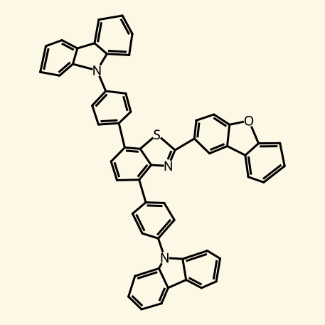 c1ccc2c(c1)oc1ccc(-c3nc4c(-c5ccc(-n6c7ccccc7c7ccccc76)cc5)ccc(-c5ccc(-n6c7ccccc7c7ccccc76)cc5)c4s3)cc12